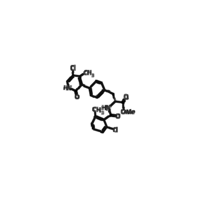 COC(=O)[C@H](Cc1ccc(-c2c(C)c(Cl)c[nH]c2=O)cc1)NC(=O)c1c(C)cccc1Cl